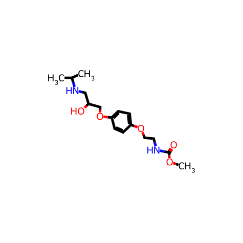 COC(=O)NCCOc1ccc(OCC(O)CNC(C)C)cc1